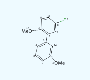 COc1[c]ccc(-c2cc(F)ccc2OC)c1